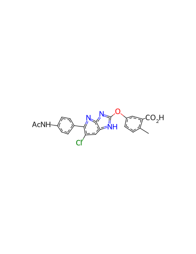 CC(=O)Nc1ccc(-c2nc3nc(Oc4ccc(C)c(C(=O)O)c4)[nH]c3cc2Cl)cc1